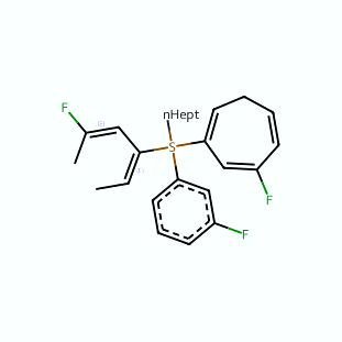 C/C=C(\C=C(/C)F)S(CCCCCCC)(C1=CCC=CC(F)=C1)c1cccc(F)c1